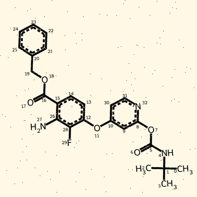 CC(C)(C)NC(=O)Oc1cc(Oc2ccc(C(=O)OCc3ccccc3)c(N)c2F)ccn1